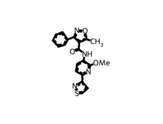 COc1nc(-c2ccsn2)ccc1NC(=O)c1c(-c2ccccc2)noc1C